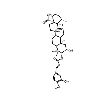 COc1ccc(/C=C/C(=O)O[C@@H]2[C@H](O)C[C@@]3(C)C(CC[C@]4(C)C3CC=C3[C@@H]5[C@@H](C)CCC[C@]5(C(=O)O)CC[C@]34C)C2(C)C)cc1O